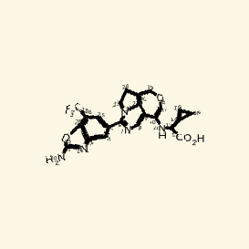 Nc1nc2cc(C3=NC=C4C(NC(C(=O)O)C5CC5)=COCC5=C4N3CC5)cc(C(F)(F)F)c2o1